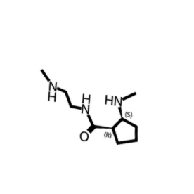 CNCCNC(=O)[C@@H]1CCC[C@@H]1NC